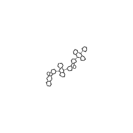 c1ccc(-c2c3ccccc3c(-c3ccc4c(c3)oc3ccc(-c5c6ccccc6c(-c6ccc7oc8cc9ccccc9cc8c7c6)c6ccccc56)cc34)c3ccccc23)cc1